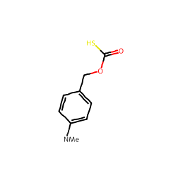 CNc1ccc(COC(=O)S)cc1